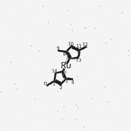 CC1=CC(C)=[C]([Ru][C]2=C(C)C=C(C)C2)C1